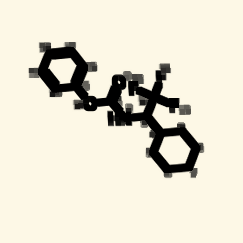 O=C(NC(C1CCCCC1)C(F)(F)F)Oc1ccccc1